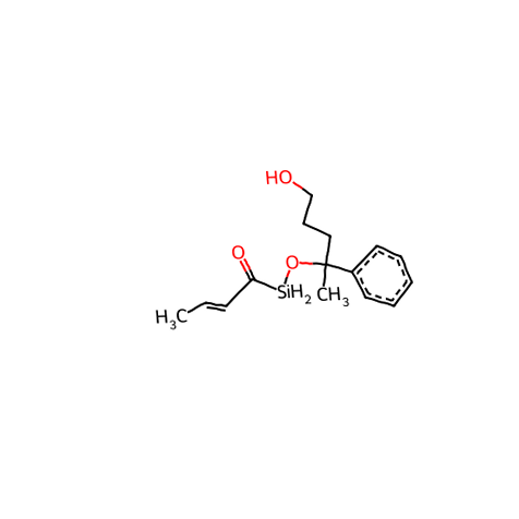 CC=CC(=O)[SiH2]OC(C)(CCCO)c1ccccc1